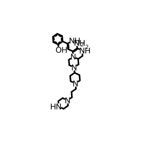 NC1=C(/C=C(\N)c2ccccc2O)N2CCN(C3CCN(CCCN4CCNCC4)CC3)CC2CN1